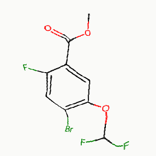 COC(=O)c1cc(OC(F)F)c(Br)cc1F